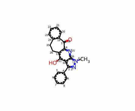 Cn1nc(-c2ccccc2)c2c(O)c3c(nc21)C(=O)c1ccccc1CC3